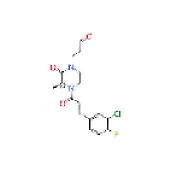 C[C@H]1C(=O)N(CCC=O)CCN1C(=O)C=Cc1ccc(F)c(Cl)c1